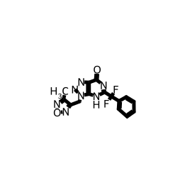 Cc1nonc1Cn1nnc2c(=O)nc(C(F)(F)c3ccccc3)[nH]c21